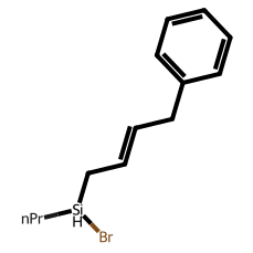 CCC[SiH](Br)CC=CCc1ccccc1